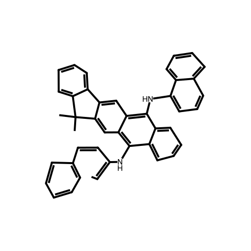 C/C=C(\C=C/c1ccccc1)Nc1c2ccccc2c(Nc2cccc3ccccc23)c2cc3c(cc12)C(C)(C)c1ccccc1-3